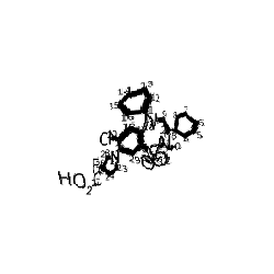 CN1[C@H](C2CCCCC2)CN(c2ccccc2)c2cc(Cl)c(N3CC[C@@](F)(C(=O)O)C3)cc2S1(=O)=O